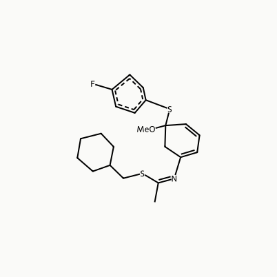 COC1(Sc2ccc(F)cc2)C=CC=C(N=C(C)SCC2CCCCC2)C1